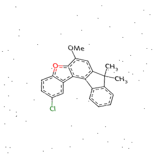 COc1cc2c(c3c1oc1ccc(Cl)cc13)-c1ccccc1C2(C)C